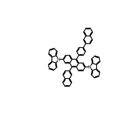 c1ccc2cc(-c3ccc(-c4c5ccc(-n6c7ccccc7c7ccccc76)cc5c(-c5ccc6ccccc6c5)c5ccc(-n6c7ccccc7c7ccccc76)cc45)cc3)ccc2c1